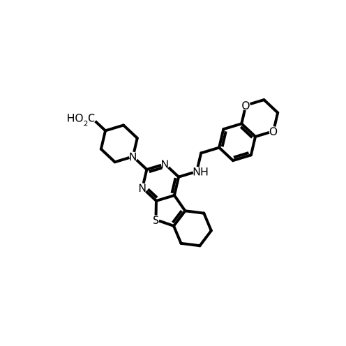 O=C(O)C1CCN(c2nc(NCc3ccc4c(c3)OCCO4)c3c4c(sc3n2)CCCC4)CC1